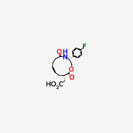 O=C(O)C[C@@H]1CC=CCCC(=O)N[C@H](c2ccc(F)cc2)COC1=O